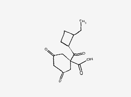 CCC1CCC1C(=O)C1(C(=O)O)CC(=O)CC(=O)C1